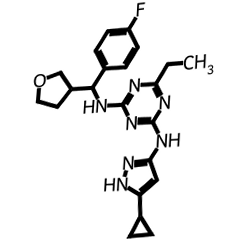 CCc1nc(Nc2cc(C3CC3)[nH]n2)nc(NC(c2ccc(F)cc2)C2CCOC2)n1